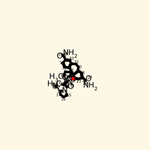 CCc1nnc(C2(C[C@H](C)NCC(=O)N3CCC[C@H]3C#N)c3ccc(C(N)=O)cc3CCc3cc(C(N)=O)ccc32)o1